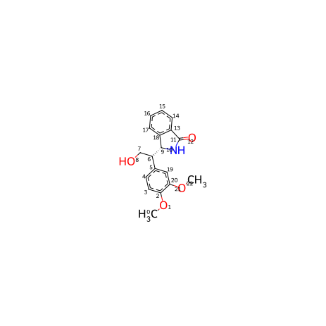 COc1ccc(C(CO)[C@H]2NC(=O)c3ccccc32)cc1OC